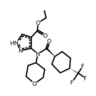 CCOC(=O)c1c[nH]nc1N(C(=O)[C@H]1CC[C@H](C(F)(F)F)CC1)C1CCOCC1